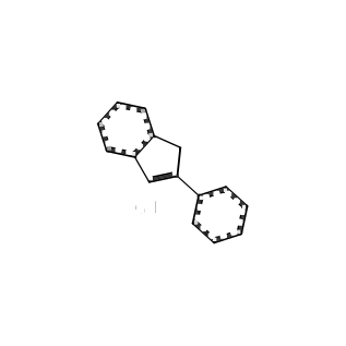 C1=C(c2ccccc2)Cc2ccccc21.[Gd]